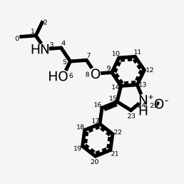 CC(C)NCC(O)COc1cccc2c1C(=Cc1ccccc1)C[NH+]2[O-]